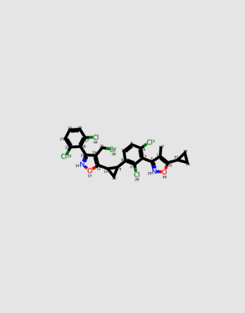 Cc1c(-c2c(Cl)ccc(C3CC3c3onc(-c4c(Cl)cccc4Cl)c3CBr)c2Cl)noc1C1CC1